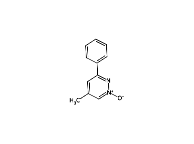 Cc1cc(-c2ccccc2)n[n+]([O-])c1